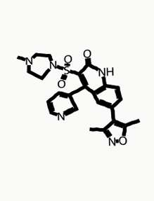 Cc1noc(C)c1-c1ccc2[nH]c(=O)c(S(=O)(=O)N3CCN(C)CC3)c(-c3cccnc3)c2c1